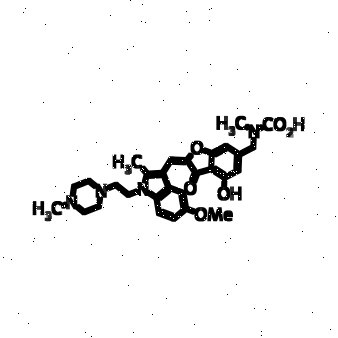 COc1ccc2c(c1)c(C=C1Oc3cc(CN(C)C(=O)O)cc(O)c3C1=O)c(C)n2CCN1CCN(C)CC1